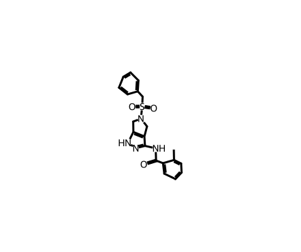 Cc1ccccc1C(=O)Nc1n[nH]c2c1CN(S(=O)(=O)Cc1ccccc1)C2